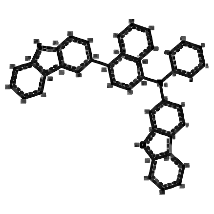 c1ccc(N(c2ccc3c(c2)oc2ccccc23)c2ccc(-c3ccc4sc5ccccc5c4c3)c3ccccc23)cc1